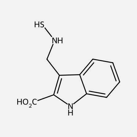 O=C(O)c1[nH]c2ccccc2c1CNS